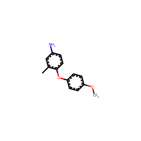 Cc1cc(N)ccc1Oc1ccc(OC(F)(F)F)cc1